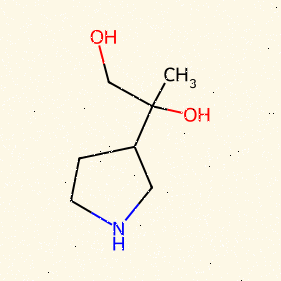 CC(O)(CO)C1CCNC1